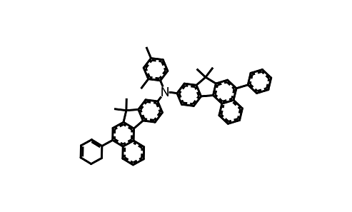 Cc1ccc(N(c2ccc3c(c2)C(C)(C)c2cc(C4=CC=CCC4)c4ccccc4c2-3)c2ccc3c(c2)C(C)(C)c2cc(-c4ccccc4)c4ccccc4c2-3)c(C)c1